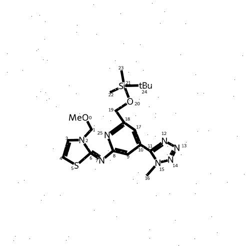 COCn1ccsc1=Nc1cc(-c2nnnn2C)cc(CO[Si](C)(C)C(C)(C)C)n1